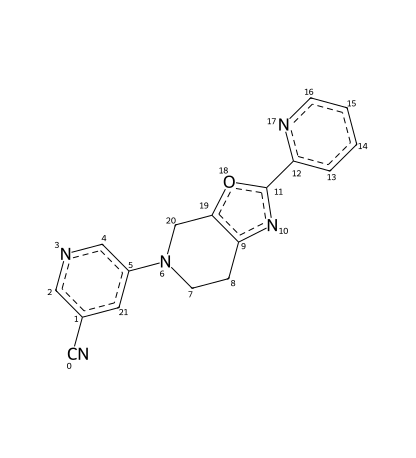 N#Cc1cncc(N2CCc3nc(-c4ccccn4)oc3C2)c1